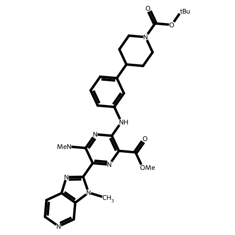 CNc1nc(Nc2cccc(C3CCN(C(=O)OC(C)(C)C)CC3)c2)c(C(=O)OC)nc1-c1nc2ccncc2n1C